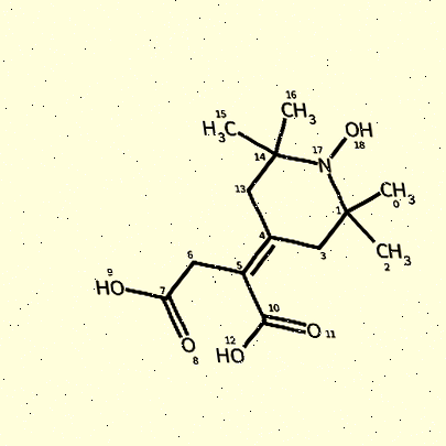 CC1(C)CC(=C(CC(=O)O)C(=O)O)CC(C)(C)N1O